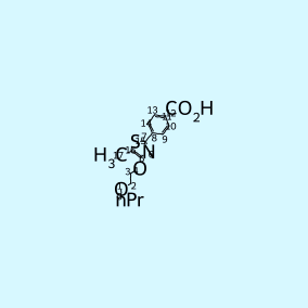 CCCOCCOc1nc(-c2ccc(C(=O)O)cc2)sc1C